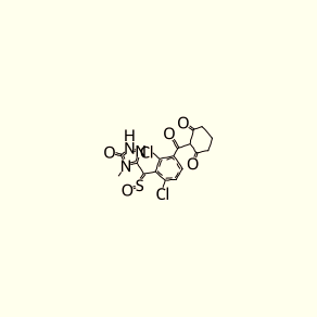 Cn1c(C(=S=O)c2c(Cl)ccc(C(=O)C3C(=O)CCCC3=O)c2Cl)n[nH]c1=O